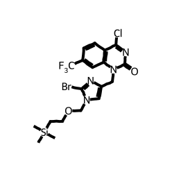 C[Si](C)(C)CCOCn1cc(Cn2c(=O)nc(Cl)c3ccc(C(F)(F)F)cc32)nc1Br